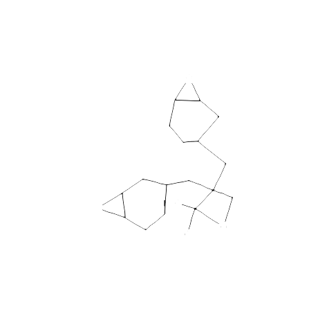 CC1(C)OCC1(CC1CCC2OC2C1)CC1CCC2OC2C1